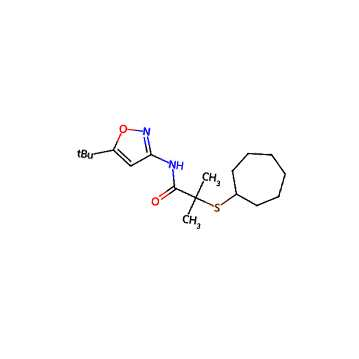 CC(C)(SC1CCCCCC1)C(=O)Nc1cc(C(C)(C)C)on1